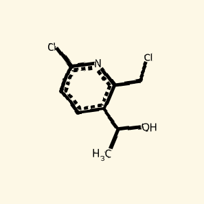 CC(O)c1ccc(Cl)nc1CCl